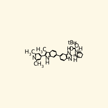 Cc1cc(-c2[nH]c3cc(-c4ccc5nc([C@H]6[C@@H]7CC[C@@H](C7)N6C(=O)OC(C)(C)C)[nH]c5c4)ccc3c2C)cc(C)n1